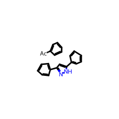 CC(=O)c1ccccc1.c1ccc(-c2cc(-c3ccccc3)[nH]n2)cc1